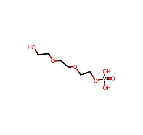 [O]=[V]([OH])([OH])[O]CCOCCOCCO